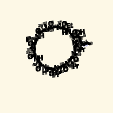 C/C=C/C[C@@H](C)[C@@H](O)[C@H]1C(=O)N[C@@H](CC)C(=O)N(C)CC(=O)N(C)[C@@H](C)C(=O)N[C@@H](C(C)C)C(=O)N(C)[C@@H](C)C(=O)N[C@@H](C)C(=O)N[C@H](C)C(=O)N(C)[C@@H](CC(C)C)C(=O)N(C)[C@@H](CC(C)C)C(=O)N(C)[C@@H](C(C)C)C(=O)N1C